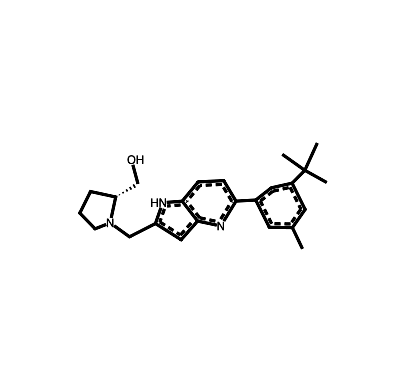 Cc1cc(-c2ccc3[nH]c(CN4CCC[C@@H]4CO)cc3n2)cc(C(C)(C)C)c1